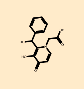 O=C(O)Cn1ccc(=O)c(O)c1C(O)c1ccccc1